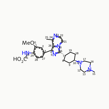 COc1cc(-c2nc([C@H]3CC[C@H](N4CCN(C)CC4)CC3)n3ccnc(C)c23)ccc1NC(=O)O